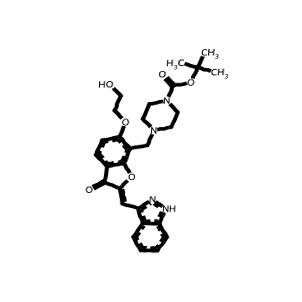 CC(C)(C)OC(=O)N1CCN(Cc2c(OCCO)ccc3c2O/C(=C\c2n[nH]c4ccccc24)C3=O)CC1